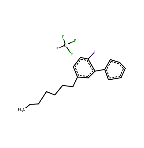 CCCCCCCc1ccc(I)c(-c2ccccc2)c1.F[B-](F)(F)F